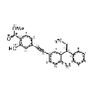 CCC/C=C(/c1ccccc1)c1cc(C#Cc2ccc(C(=O)OC)c(O)c2)ccc1CC